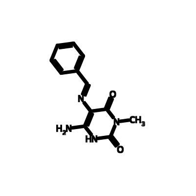 Cn1c(=O)[nH]c(N)c(N=Cc2ccccc2)c1=O